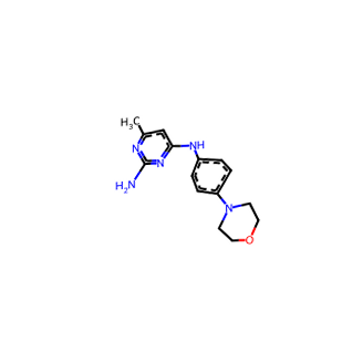 Cc1cc(Nc2ccc(N3CCOCC3)cc2)nc(N)n1